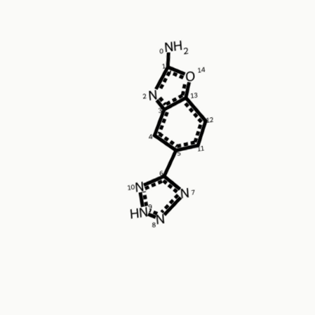 Nc1nc2cc(-c3nn[nH]n3)ccc2o1